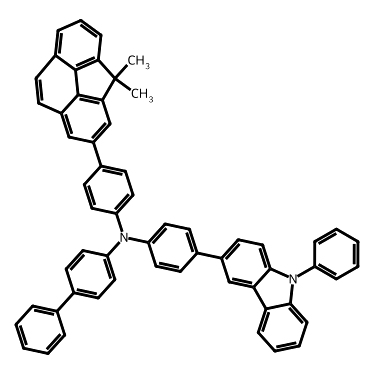 CC1(C)c2cccc3ccc4cc(-c5ccc(N(c6ccc(-c7ccccc7)cc6)c6ccc(-c7ccc8c(c7)c7ccccc7n8-c7ccccc7)cc6)cc5)cc1c4c23